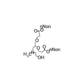 CCCCCCCCCOC(=O)CCOCC(CN(C)CCO)OCCC(=O)OCCCCCCCCC